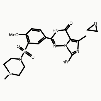 C1CO1.CCCc1nc(C)c2c(=O)[nH]c(-c3ccc(OC)c(S(=O)(=O)N4CCN(C)CC4)c3)nn12